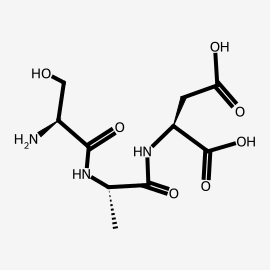 C[C@H](NC(=O)[C@@H](N)CO)C(=O)N[C@@H](CC(=O)O)C(=O)O